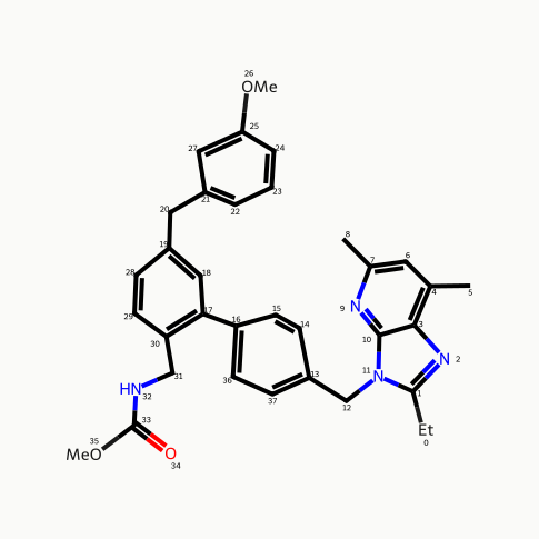 CCc1nc2c(C)cc(C)nc2n1Cc1ccc(-c2cc(Cc3cccc(OC)c3)ccc2CNC(=O)OC)cc1